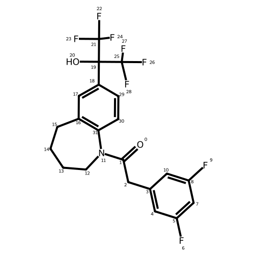 O=C(Cc1cc(F)cc(F)c1)N1CCCCc2cc(C(O)(C(F)(F)F)C(F)(F)F)ccc21